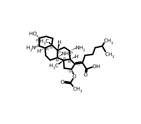 CC(=O)O[C@H]1C[C@@]2(C)[C@H](/C1=C(\CCCC(C)C)C(=O)O)[C@@H](N)C[C@H]1[C@@]3(C)CC[C@@H](O)[C@@H](N)[C@@H]3CC[C@@]12N